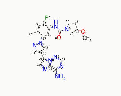 Cc1cc(F)c(NC(=O)N2CCC(OC(F)(F)F)C2)cc1-n1cc(-c2cnc3c(N)ncnn23)cn1